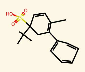 CC1=C(c2ccccc2)CC(C(C)(C)C)(S(=O)(=O)O)C=C1